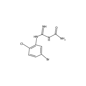 N=C(NC(N)=O)Nc1cc(Br)ccc1Cl